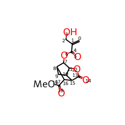 C=C(CO)C(=O)OC1C2CC3C1OC(=O)C3C2C(=O)OC